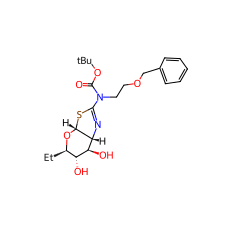 CC[C@H]1O[C@@H]2SC(N(CCOCc3ccccc3)C(=O)OC(C)(C)C)=N[C@@H]2[C@@H](O)[C@@H]1O